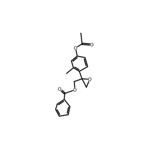 CC(=O)Oc1ccc(C2(COC(=O)c3ccccc3)CO2)c(C)c1